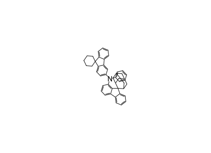 c1ccc(N(c2ccc3c(c2)-c2ccccc2C32CCCCC2)c2cccc3c2C2(c4ccccc4-3)C3CC4CC(C3)CC2C4)cc1